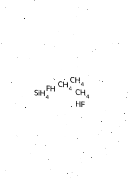 C.C.C.F.F.[SiH4]